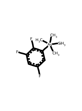 C[As](C)(C)([SiH3])c1cc(F)cc(F)c1F